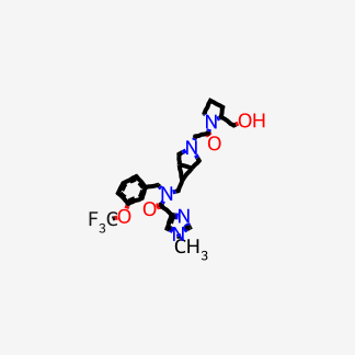 Cn1cnc(C(=O)N(Cc2cccc(OC(F)(F)F)c2)CC2C3CN(CC(=O)N4CCCC4CO)CC32)c1